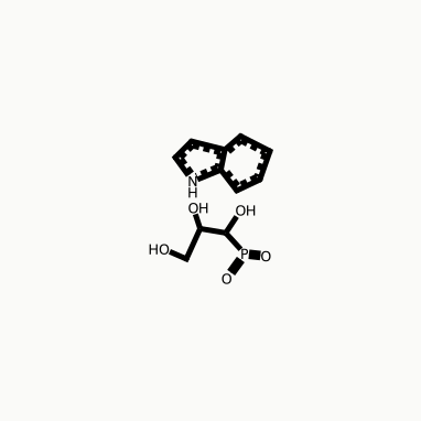 O=P(=O)C(O)C(O)CO.c1ccc2[nH]ccc2c1